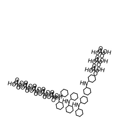 C1CCC(NC2CCCCC2)CC1.C1CCC(NC2CCCCC2)CC1.C1CCC(NC2CCCCC2)CC1.C1CCC(NC2CCCCC2)CC1.[O]=[Mo](=[O])([OH])[OH].[O]=[Mo](=[O])([OH])[OH].[O]=[Mo](=[O])([OH])[OH].[O]=[Mo](=[O])([OH])[OH].[O]=[Mo](=[O])([OH])[OH].[O]=[Mo](=[O])([OH])[OH].[O]=[Mo](=[O])([OH])[OH].[O]=[Mo](=[O])([OH])[OH]